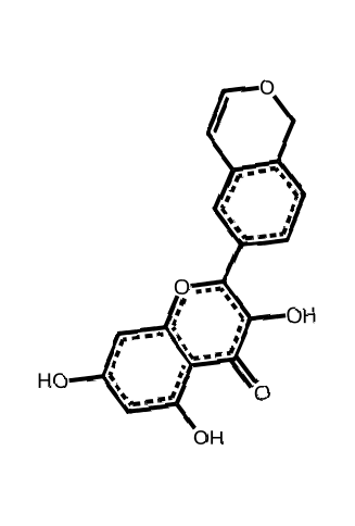 O=c1c(O)c(-c2ccc3c(c2)C=COC3)oc2cc(O)cc(O)c12